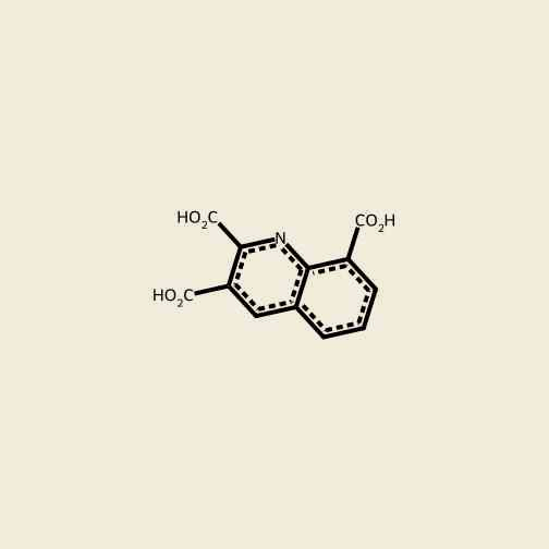 O=C(O)c1cc2cccc(C(=O)O)c2nc1C(=O)O